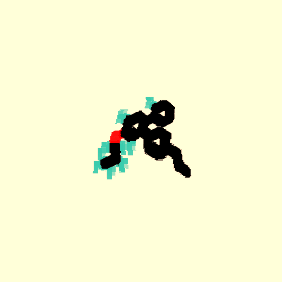 CCCc1ccc(-c2c(-c3ccccc3F)cc(F)c(OC(F)(F)C(F)C(F)(F)F)c2F)cc1